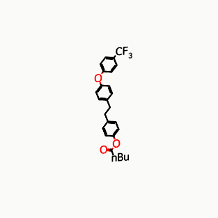 CCCCC(=O)Oc1ccc(CCc2ccc(Oc3ccc(C(F)(F)F)cc3)cc2)cc1